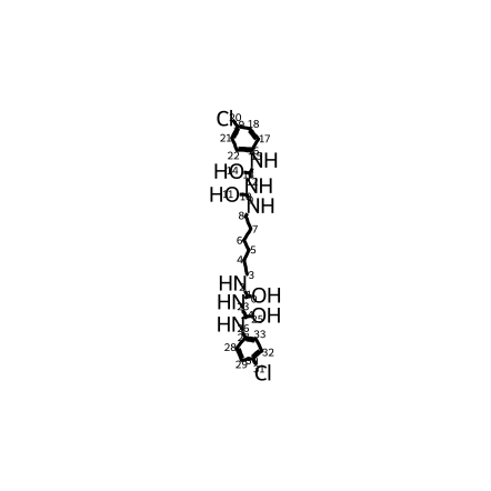 OC(NCCCCCCNC(O)NC(O)Nc1ccc(Cl)cc1)NC(O)Nc1ccc(Cl)cc1